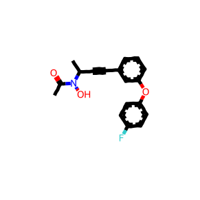 CC(=O)N(O)C(C)C#Cc1cccc(Oc2ccc(F)cc2)c1